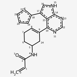 C=CC(=O)NC1CCC=C(c2ncnc3[nH]cc(-c4cccs4)c23)C1